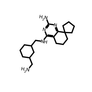 NCC1CCCC(CNc2nc(N)nc3c2CCCC32CCCC2)C1